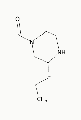 CCC[C@@H]1CN(C=O)CCN1